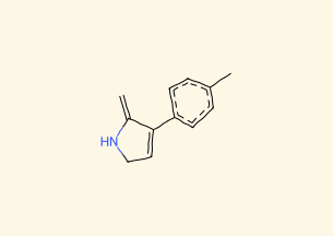 C=C1NCC=C1c1ccc(C)cc1